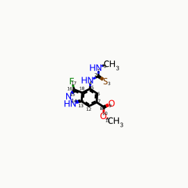 CNC(=S)Nc1cc(C(=O)OC)cc2[nH]nc(F)c12